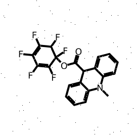 CN1c2ccccc2C(C(=O)OC2(F)C(F)=C(F)C(F)=C(F)C2F)c2ccccc21